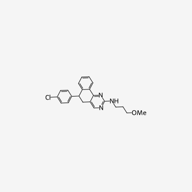 COCCCNc1ncc2c(n1)-c1ccccc1C(c1ccc(Cl)cc1)C2